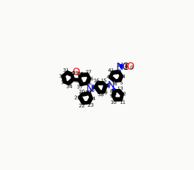 O=C=Nc1ccc(N(c2ccccc2)c2ccc(N(c3ccccc3)c3ccc4oc5ccccc5c4c3)cc2)cc1